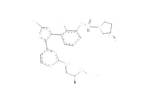 C[C@@H](CNc1nccc(-c2sc(C(C)(C)C)nc2-c2cccc(NS(=O)(=O)N3CC[C@@H](F)C3)c2F)n1)NC(=O)O